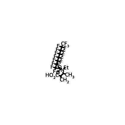 C=C(C(=O)O)C(C)N(CC)S(=O)(=O)C(F)(F)C(F)(F)C(F)(F)C(F)(F)C(F)(F)C(F)(F)C(F)(F)C(F)(F)F